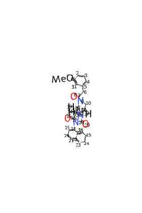 COc1cccc(CC(=O)N2C[C@@H]3C[C@H]2[C@H]2C(=O)N(c4cccc5ccccc45)C(=O)N32)c1